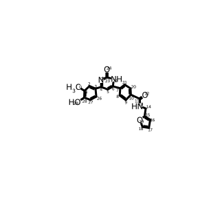 Cc1cc(-c2cc(-c3ccc(C(=O)NCc4ccco4)cc3)[nH]c(=O)n2)ccc1O